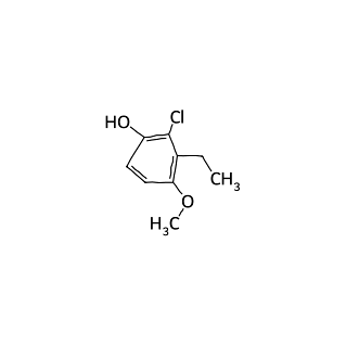 CCc1c(OC)ccc(O)c1Cl